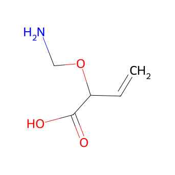 C=CC(OCN)C(=O)O